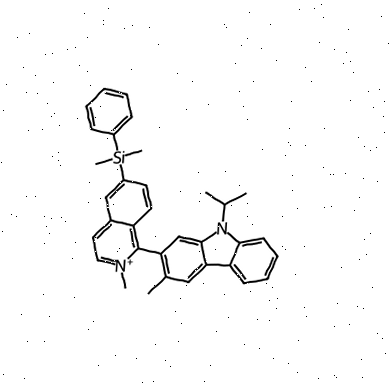 Cc1cc2c3ccccc3n(C(C)C)c2cc1-c1c2ccc([Si](C)(C)c3ccccc3)cc2cc[n+]1C